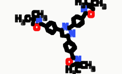 CC1(C)COC(c2ccc(-c3cc(-c4ccc(C5=NC(C)(C)CO5)cc4)nc(-c4ccc(C5=NC(C)(C)CO5)cc4)n3)cc2)=N1